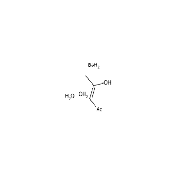 CC(=O)/C=C(/C)O.O.O.[BaH2]